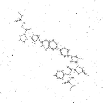 COC(=O)NCC(=O)N1CCC[C@H]1c1ncc(-c2ccc3cc(-c4ccc(-c5cnc([C@@H]6CC(=O)CN6C(=O)[C@H](NC(=O)OC)c6ccccc6)[nH]5)cc4)ccc3c2)[nH]1